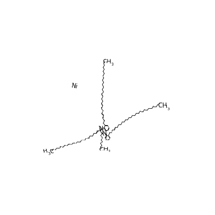 CCCCCCCCCCCCCCCCCCCCCCC=CC(=Nc1ccccc1CCCC=CCCCCCCCCCCCCCCCCCCCCCCC)C(CCCCCCCC)=Nc1ccccc1CCCC=CCCCCCCCCCCCCCCCCCCCCCCC.[Ni]